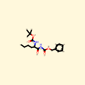 CCCCC(NC(=O)OC(C)(C)C)C(=O)NC(=O)OCc1ccccc1